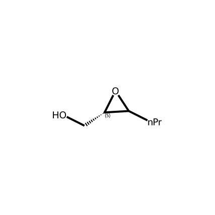 CCCC1O[C@H]1CO